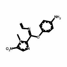 C=CN=C(Oc1ccc(N)cc1)c1ncc([N+](=O)[O-])n1C